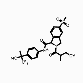 CC(CO)C(=O)N1Cc2cc(S(C)(=O)=O)ccc2C1C(=O)Nc1ccc(C(C)(O)C(F)(F)F)cc1